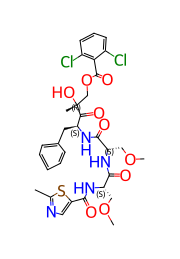 COC[C@H](NC(=O)c1cnc(C)s1)C(=O)N[C@@H](COC)C(=O)N[C@@H](Cc1ccccc1)C(=O)[C@](C)(O)COC(=O)c1c(Cl)cccc1Cl